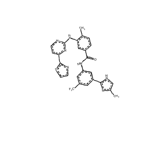 Cc1c[nH]c(-c2cc(NC(=O)c3ccc(C)c(Nc4nccc(-c5nccs5)n4)c3)cc(C(F)(F)F)c2)n1